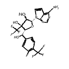 Nc1ncnc2c1ccn2[C@@H]1O[C@H](C(O)c2ccc(C(F)(F)F)c(F)c2)[C@](O)(C(F)(F)F)[C@H]1O